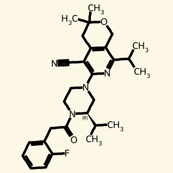 CC(C)c1nc(N2CCN(C(=O)Cc3ccccc3F)[C@H](C(C)C)C2)c(C#N)c2c1COC(C)(C)C2